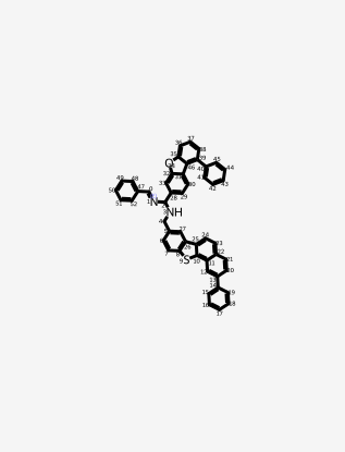 C(=N\C(NCc1ccc2sc3c4cc(-c5ccccc5)ccc4ccc3c2c1)c1ccc2c(c1)oc1cccc(-c3ccccc3)c12)/c1ccccc1